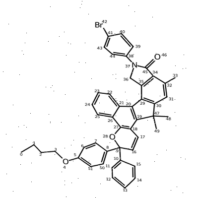 CCCCOc1ccc(C2(c3ccccc3)C=Cc3c4c(c5ccccc5c3O2)-c2c(cc(C)c3c2CN(c2ccc(Br)cc2)C3=O)C4(C)C)cc1